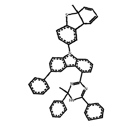 CC1(c2ccccc2)N=C(c2cccc3c2c2cc(-c4ccccc4)ccc2n3-c2ccc3c(c2)C2C=CC=CC2(C)S3)N=C(c2ccccc2)N1